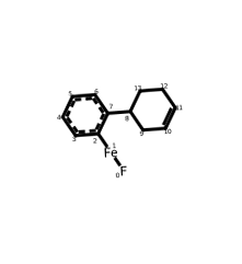 [F][Fe][c]1ccccc1C1CC=CCC1